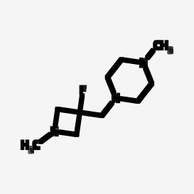 CN1CCN(CC2(F)CN(C)C2)CC1